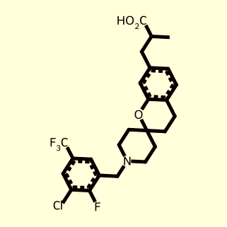 CC(Cc1ccc2c(c1)OC1(CC2)CCN(Cc2cc(C(F)(F)F)cc(Cl)c2F)CC1)C(=O)O